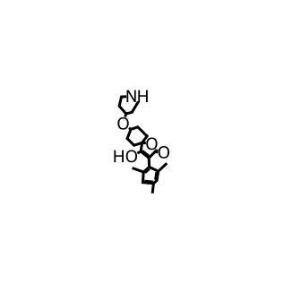 Cc1cc(C)c(C2=C(O)C3(CCC(OC4CCNCC4)CC3)OC2=O)c(C)c1